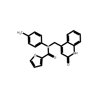 Cc1ccc(N(Cc2cc(=O)[nH]c3ccccc23)C(=O)c2ccco2)cc1